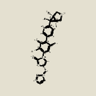 O=C1O[C@@H](Cn2ccnn2)CN1c1cc(F)c(-c2ccc([C@@]3(F)[C@@H]4COC[C@@H]43)nc2)c(F)c1F